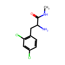 CNC(=O)C(N)Cc1ccc(Cl)cc1Cl